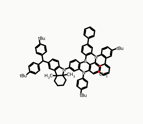 Cc1cc2c3c(c1)N(c1ccc(C(C)(C)C)cc1-c1ccccc1)c1cc(-c4ccccc4)ccc1B3c1ccc(N3c4ccc(C(c5ccc(C(C)(C)C)cc5)c5ccc(C(C)(C)C)cc5)cc4C4(C)CCCCC34C)cc1N2c1ccc(C(C)(C)C)cc1